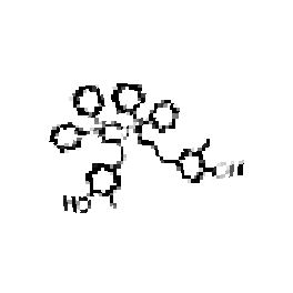 Cc1cc(CCC[Si](CO[Si](CCCc2ccc(O)c(C)c2)(c2ccccc2)c2ccccc2)(c2ccccc2)c2ccccc2)ccc1O